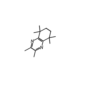 Cc1nc2c(nc1C)C(C)(C)CCC2(C)C